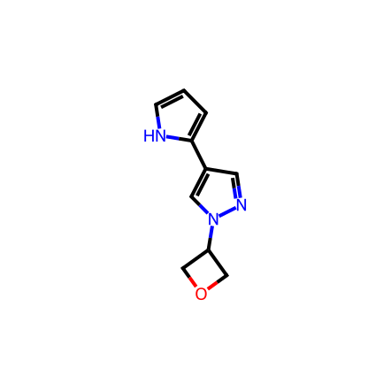 c1c[nH]c(-c2cnn(C3COC3)c2)c1